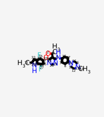 CC(=O)c1c(Nc2ccc(N3CCN(C)CC3)cc2)ncnc1Oc1cc(F)c2[nH]c(C)cc2c1F